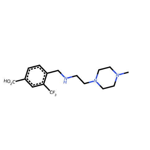 CN1CCN(CCNCc2ccc(C(=O)O)cc2C(F)(F)F)CC1